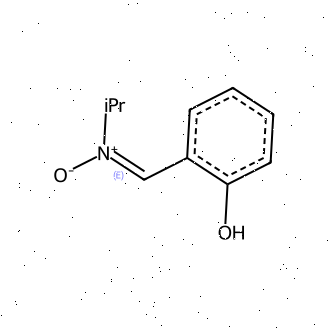 CC(C)/[N+]([O-])=C\c1ccccc1O